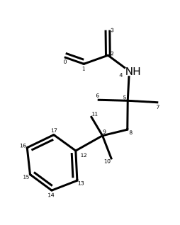 C=CC(=C)NC(C)(C)CC(C)(C)c1ccccc1